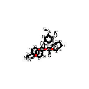 COc1ccc(OC(CCCN2C3CCC2CN(C(=O)Nc2ccc(C#N)cc2)C3)c2ccc(C#N)cc2)cc1OC